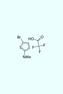 CNc1ccc(Br)s1.O=C(O)C(F)(F)F